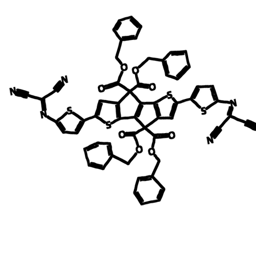 N#CC(C#N)=Nc1ccc(-c2cc3c(s2)C2=C(c4sc(-c5ccc(N=C(C#N)C#N)s5)cc4C2(C(=O)OCc2ccccc2)C(=O)OCc2ccccc2)C3(C(=O)OCc2ccccc2)C(=O)OCc2ccccc2)s1